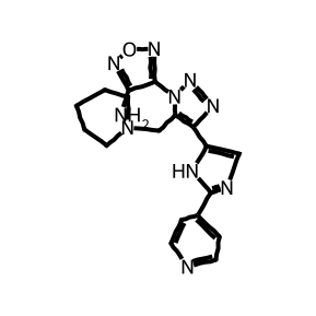 Nc1nonc1-n1nnc(-c2cnc(-c3ccncc3)[nH]2)c1CN1CCCCC1